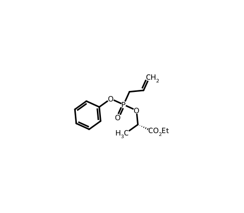 C=CCP(=O)(Oc1ccccc1)O[C@@H](C)C(=O)OCC